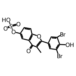 Cc1c(-c2cc(Br)c(O)c(Br)c2)oc2ccc(OS(=O)(=O)O)cc2c1=O